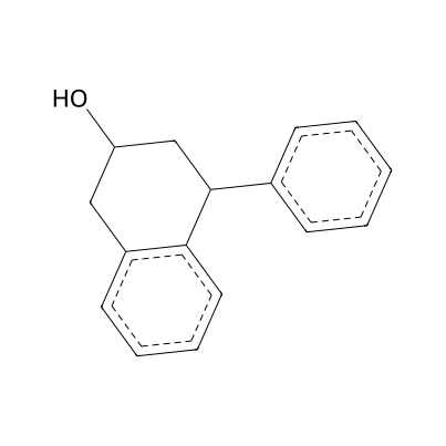 OC1Cc2ccccc2C(c2ccccc2)C1